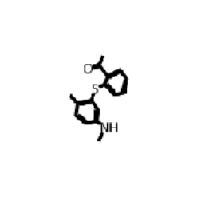 CNc1ccc(C)c(Sc2ccccc2C(C)=O)c1